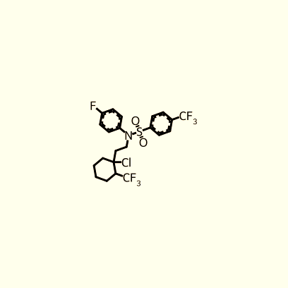 O=S(=O)(c1ccc(C(F)(F)F)cc1)N(CCC1(Cl)CCCCC1C(F)(F)F)c1ccc(F)cc1